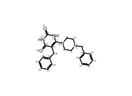 O=c1[nH]c(N2CCN(Cc3ccccc3)CC2)c(Cc2ccccc2)c(=O)[nH]1